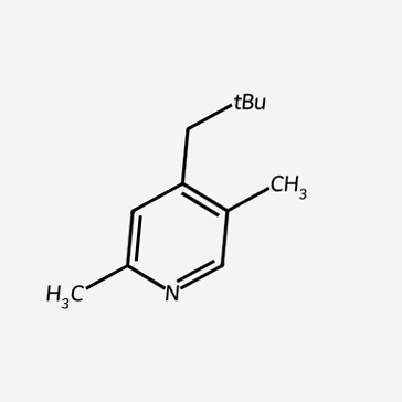 Cc1cc(CC(C)(C)C)c(C)cn1